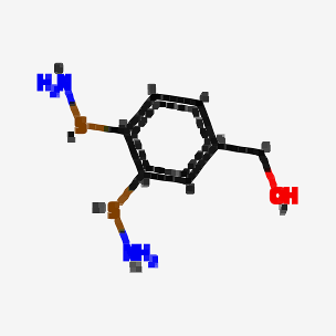 NSc1ccc(CO)cc1SN